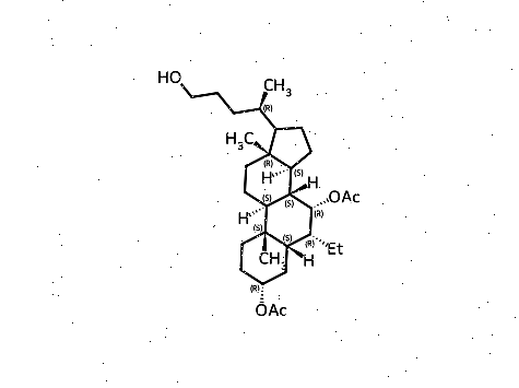 CC[C@H]1[C@@H](OC(C)=O)[C@@H]2[C@H](CC[C@]3(C)C([C@H](C)CCCO)CC[C@@H]23)[C@@]2(C)CC[C@@H](OC(C)=O)C[C@@H]12